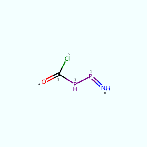 N=PPC(=O)Cl